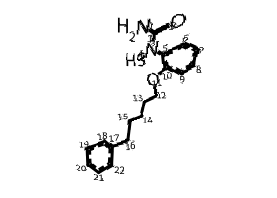 NC(=O)N(S)c1ccccc1OCCCCCc1ccccc1